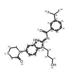 O=C(/N=c1\[nH]c2cc(N3CCSCC3=O)ccc2n1CCCO)c1cccc(C(F)F)c1